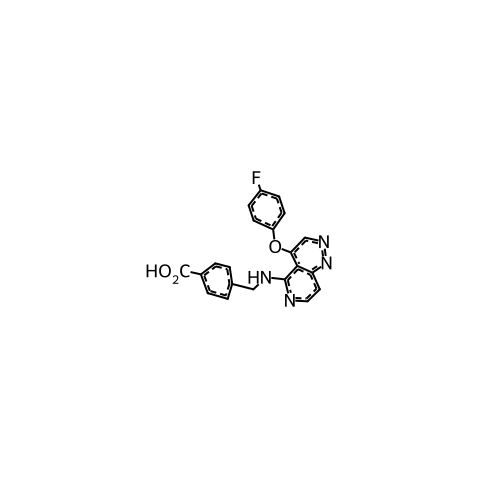 O=C(O)c1ccc(CNc2nccc3nncc(Oc4ccc(F)cc4)c23)cc1